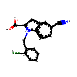 N#Cc1ccc2c(c1)cc(C(=O)O)n2Cc1ccccc1Br